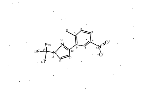 Cc1ccc([N+](=O)[O-])cc1-c1ccn(C(F)(F)F)n1